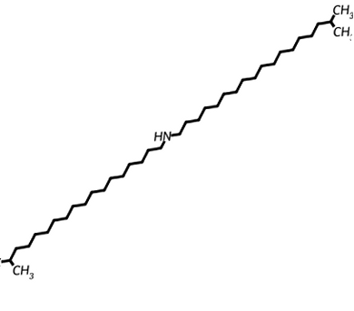 CC(C)CCCCCCCCCCCCCCCCNCCCCCCCCCCCCCCCCC(C)C